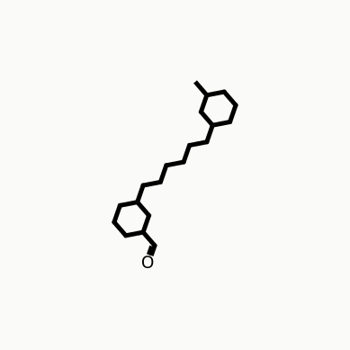 CC1CCCC(CCCCCCC2CCCC(C=O)C2)C1